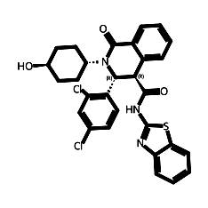 O=C(Nc1nc2ccccc2s1)[C@@H]1c2ccccc2C(=O)N([C@H]2CC[C@H](O)CC2)[C@H]1c1ccc(Cl)cc1Cl